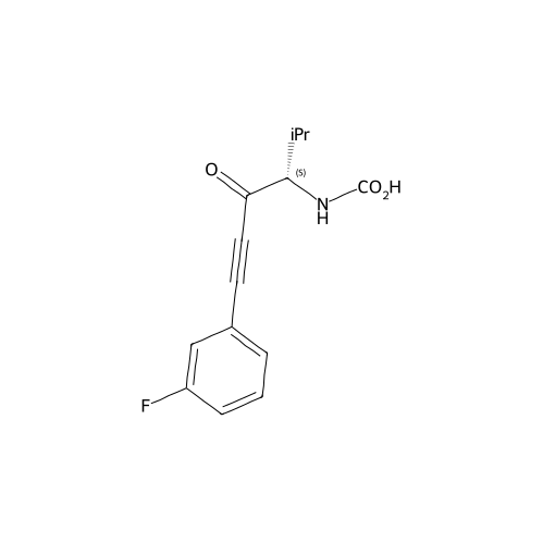 CC(C)[C@H](NC(=O)O)C(=O)C#Cc1cccc(F)c1